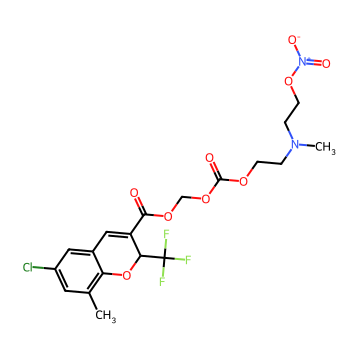 Cc1cc(Cl)cc2c1OC(C(F)(F)F)C(C(=O)OCOC(=O)OCCN(C)CCO[N+](=O)[O-])=C2